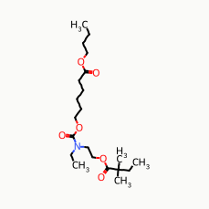 CCCCOC(=O)CCCCCOC(=O)N(CC)CCOC(=O)C(C)(C)CC